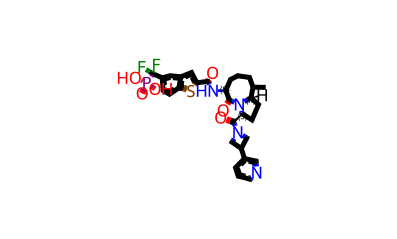 CC1CCC[C@H](NC(=O)c2cc3cc(C(F)(F)P(=O)(O)O)ccc3s2)C(=O)N2[C@@H]1CC[C@H]2C(=O)N1CC(c2cccnc2)C1